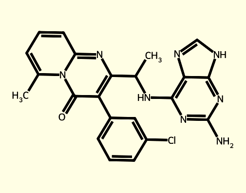 Cc1cccc2nc(C(C)Nc3nc(N)nc4[nH]cnc34)c(-c3cccc(Cl)c3)c(=O)n12